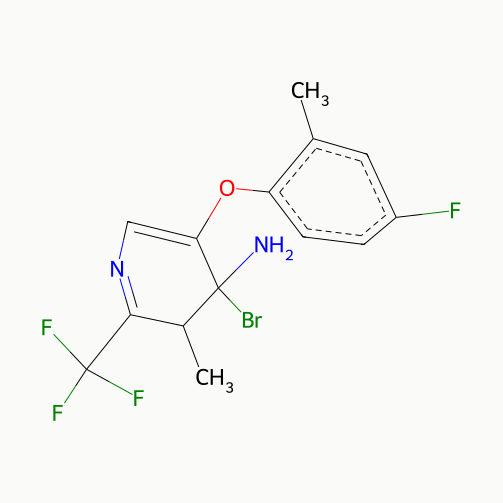 Cc1cc(F)ccc1OC1=CN=C(C(F)(F)F)C(C)C1(N)Br